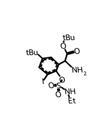 CCNS(=O)(=O)Oc1c(I)cc(C(C)(C)C)cc1C(N)C(=O)OC(C)(C)C